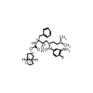 CN(C)CCN(C[C@@H](O)[C@H](Cc1ccccc1)NC(=O)O[C@@H]1C[C@@H]2CCO[C@@H]2C1)[S+]([O-])c1ccc(F)c(N)c1